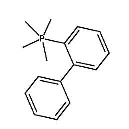 CP(C)(C)(C)c1ccccc1-c1ccccc1